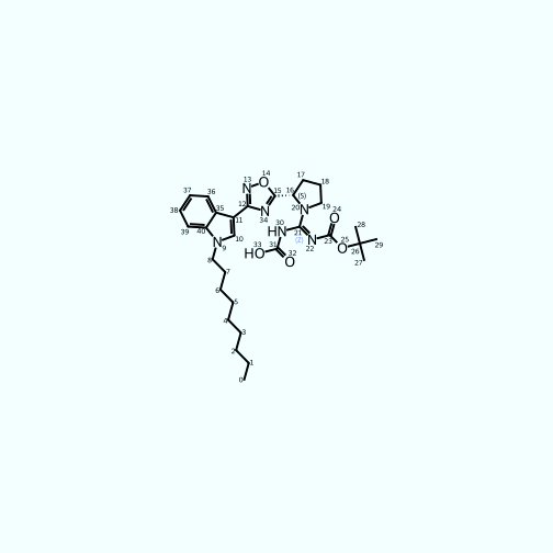 CCCCCCCCCn1cc(-c2noc([C@@H]3CCCN3/C(=N\C(=O)OC(C)(C)C)NC(=O)O)n2)c2ccccc21